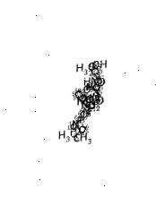 CC(C)c1ccccc1[C@H]1CCCN1C1CC2(CCN(c3ccc(C(=O)NSc4cc(N=O)c5c(c4)OCC([C@H]4CC[C@](C)(O)CC4)N5)c(Oc4cc5c(nc4N)CCC=C5)c3)CC2)C1